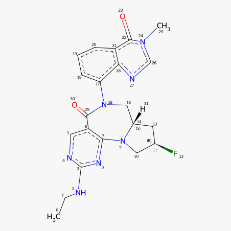 CCNc1ncc2c(n1)N1C[C@H](F)C[C@H]1CN(c1cccc3c(=O)n(C)cnc13)C2=O